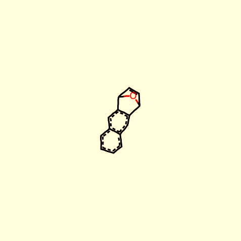 C1=CC2OC1c1cc3ccccc3cc12